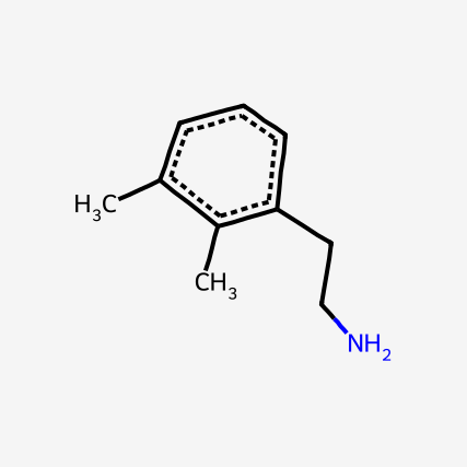 Cc1cccc(CCN)c1C